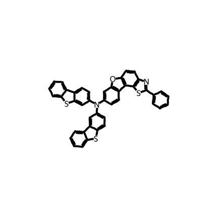 c1ccc(-c2nc3ccc4oc5cc(N(c6ccc7c(c6)sc6ccccc67)c6ccc7sc8ccccc8c7c6)ccc5c4c3s2)cc1